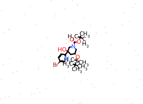 CC(C)(C)OC(=O)N1CC(O[Si](C)(C)C(C)(C)C)CC(O)(c2ccc(Br)cn2)C1